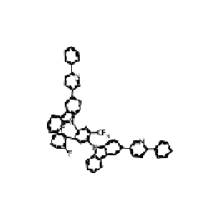 Fc1cccc(F)c1-c1cc(-n2c3ccccc3c3cc(-c4ccc(-c5ccccc5)nc4)ccc32)c(C(F)(F)F)cc1-n1c2ccccc2c2cc(-c3ccc(-c4ccccc4)nc3)ccc21